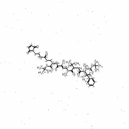 C/C(=C\CN(C)C(=O)C(NC(=O)[C@@H](N(C)C(=O)OC(C)(C)C)C(C)(C)c1ccccc1)C(C)(C)C)C(=O)N[C@H](CCC(=O)NCCN1C(=O)C=CC1=O)C(=O)OC(C)(C)C